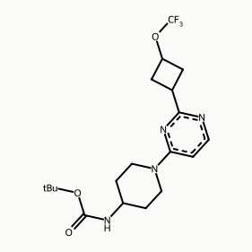 CC(C)(C)OC(=O)NC1CCN(c2ccnc(C3CC(OC(F)(F)F)C3)n2)CC1